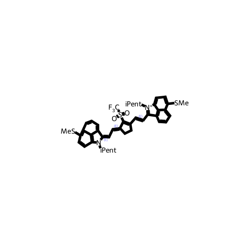 CCCC(C)n1/c(=C/C=C2\CCC(/C=C/C3=[N+](C(C)CCC)c4ccc(SC)c5cccc3c45)=C2S(=O)(=O)C(F)(F)F)c2cccc3c(SC)ccc1c32